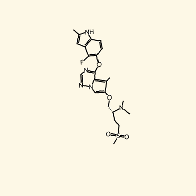 Cc1cc2c(F)c(Oc3ncnn4cc(OC[C@@H](CCS(C)(=O)=O)N(C)C)c(C)c34)ccc2[nH]1